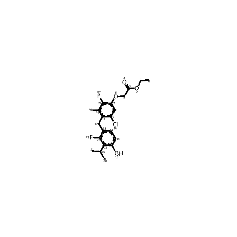 CCOC(=O)COc1cc(Cl)c(Cc2ccc(O)c(C(C)C)c2F)c(C)c1F